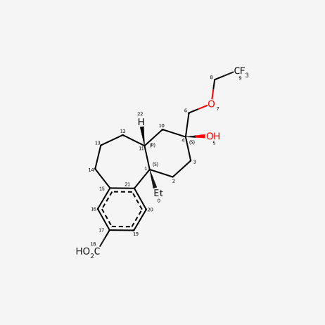 CC[C@]12CC[C@@](O)(COCC(F)(F)F)C[C@H]1CCCc1cc(C(=O)O)ccc12